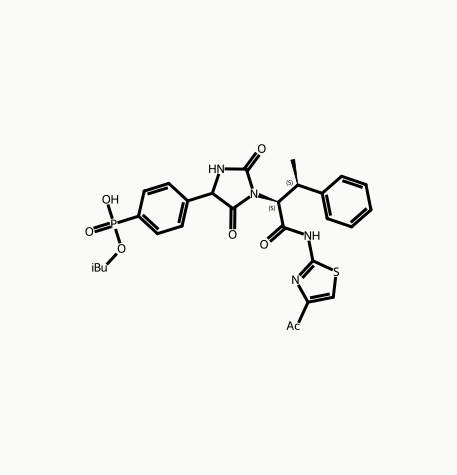 CCC(C)OP(=O)(O)c1ccc(C2NC(=O)N([C@H](C(=O)Nc3nc(C(C)=O)cs3)[C@@H](C)c3ccccc3)C2=O)cc1